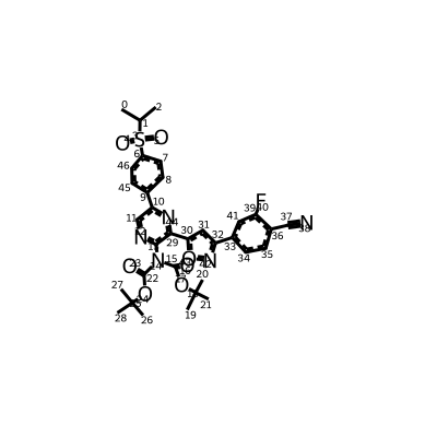 CC(C)S(=O)(=O)c1ccc(-c2cnc(N(C(=O)OC(C)(C)C)C(=O)OC(C)(C)C)c(-c3cc(-c4ccc(C#N)c(F)c4)no3)n2)cc1